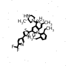 CCc1cccc(CC)c1-n1c(C=C(C)C)c(C(=O)N2CCN[C@@H](C)C2)cc(-c2nc(-c3ccc(C(F)F)nc3)cs2)c1=O